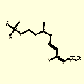 CCOC(=O)C=C(C)C=CCC(C)CCCC(C)(C)O